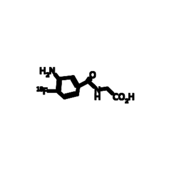 Nc1cc(C(=O)NCC(=O)O)ccc1[18F]